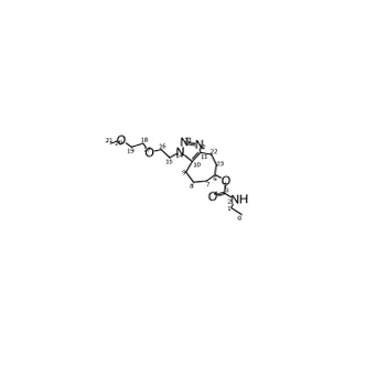 CCNC(=O)OC1CCCc2c(nnn2CCOCCOC)CC1